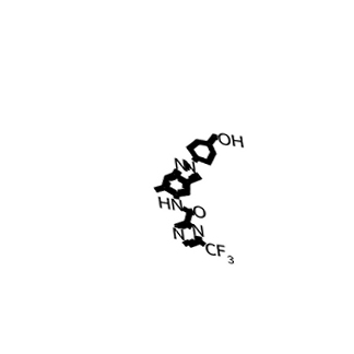 Cc1cc2nn(C3CCC(CO)CC3)cc2cc1NC(=O)c1cncc(C(F)(F)F)n1